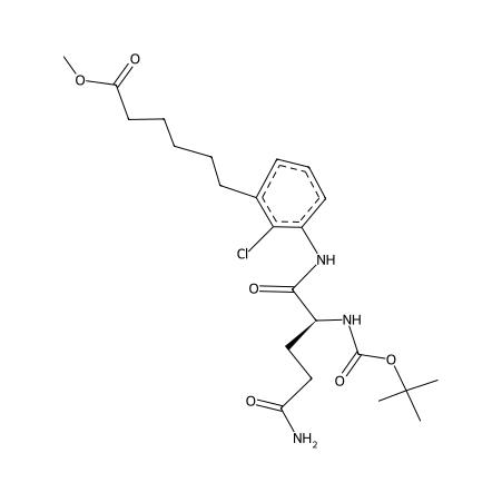 COC(=O)CCCCCc1cccc(NC(=O)[C@H](CCC(N)=O)NC(=O)OC(C)(C)C)c1Cl